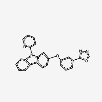 c1ccc(-n2c3ccccc3c3ccc(Oc4cccc(-c5nnco5)c4)cc32)nc1